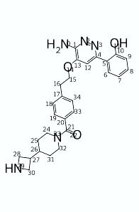 Nc1nnc(-c2ccccc2O)cc1OCCc1ccc(C(=O)N2CCC(C3CNC3)CC2)cc1